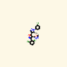 Fc1cccc(Cl)c1-c1noc(-c2cnn(-c3cccc(Cl)c3)c2C(F)(F)F)c1-c1nnco1